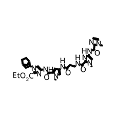 CCOC(=O)c1nc(NC(=O)c2cc(NC(=O)CCNC(=O)c3nc(NC(=O)c4nccn4C)cn3C)cn2C)cn1C1CC2CCC1C2